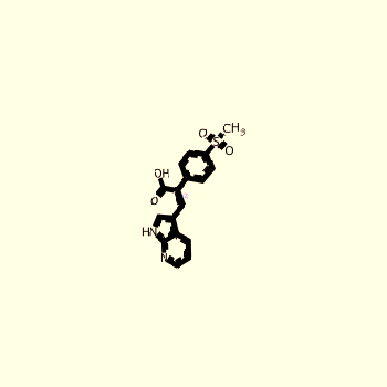 CS(=O)(=O)c1ccc(/C(=C/c2c[nH]c3ncccc23)C(=O)O)cc1